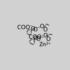 C=CC(=O)OCCOOc1ccccc1C(=O)[O-].C=CC(=O)OCCOOc1ccccc1C(=O)[O-].[Zn+2]